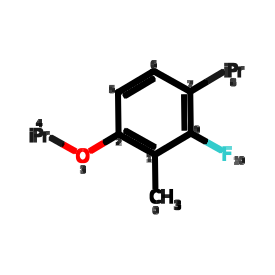 Cc1c(OC(C)C)ccc(C(C)C)c1F